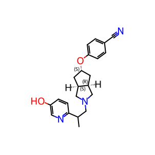 CC(CN1C[C@H]2C[C@H](Oc3ccc(C#N)cc3)C[C@H]2C1)c1ccc(O)cn1